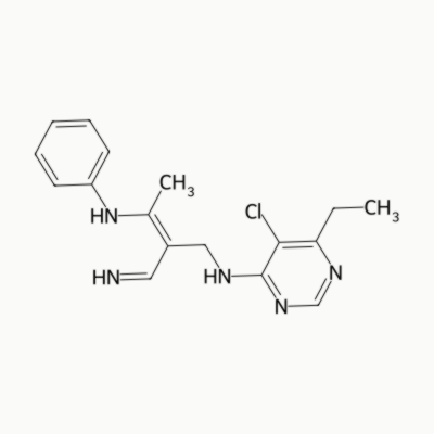 CCc1ncnc(NC/C(C=N)=C(\C)Nc2ccccc2)c1Cl